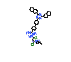 CN/C(Cl)=C\C(Cl)NNC(=N)c1ccc(-c2ccc(-c3nc(-c4ccc5ccccc5c4)nc(-c4ccc5ccccc5c4)n3)cc2)cc1